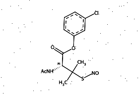 CC(=O)N[C@H](C(=O)Oc1cccc(Cl)c1)C(C)(C)SN=O